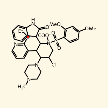 CCOc1ncccc1C1C(N2CCN(C)CC2)C(Cl)C[N+](C(=O)[O-])(S(=O)(=O)c2ccc(OC)cc2OC)C1C1C(=O)Nc2ccccc21